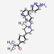 CN(C)C(=O)c1ccc(C2CCN(Cc3cc4c(-c5ccc(N)nn5)ccnc4n3C)CC2)cc1